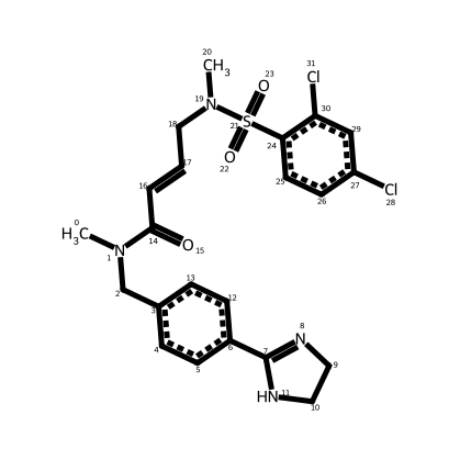 CN(Cc1ccc(C2=NCCN2)cc1)C(=O)/C=C/CN(C)S(=O)(=O)c1ccc(Cl)cc1Cl